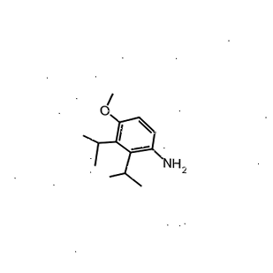 COc1ccc(N)c(C(C)C)c1C(C)C